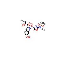 CN(c1nc(C(=O)NC(Cc2ccc(O)cc2)C(O)C(O)CC#N)co1)S(C)(=O)=O